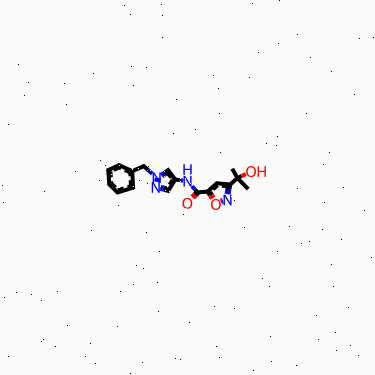 CC(C)(O)c1cc(C(=O)Nc2cnn(Cc3ccccc3)c2)on1